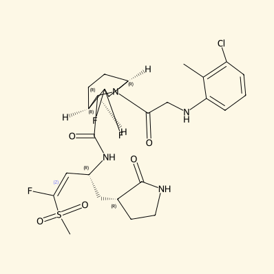 Cc1c(Cl)cccc1NCC(=O)N1[C@@H]2CC[C@H]([C@@H]1C(=O)N[C@@H](/C=C(/F)S(C)(=O)=O)C[C@H]1CCNC1=O)C(F)(F)C2